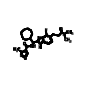 Cc1nocc1C(=O)NC(c1nc2c(F)c(CCC(=O)N(C)C)ccc2[nH]1)C1CCCCCCC1